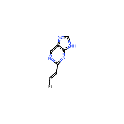 CC/C=C/c1ncc2nc[nH]c2n1